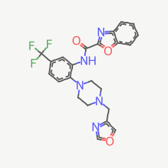 O=C(Nc1cc(C(F)(F)F)ccc1N1CCN(Cc2cocn2)CC1)c1nc2ccccc2o1